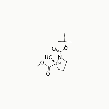 COC(=O)[C@@]1(O)CCCN1C(=O)OC(C)(C)C